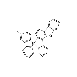 Cc1ccc([Si]2(c3ccccc3)c3ccccc3-c3c2ccc2c3sc3ccccc32)cc1